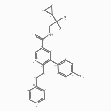 CC(O)(CNC(=O)c1cnc(CCc2ccncc2)c(-c2ccc(F)cc2)c1)C1CC1